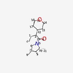 CCC(C(=O)N1CC(C)C[C@H]1C)C1CCOCC1